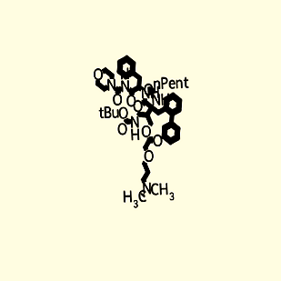 CCCCCC(=O)NC(Cc1ccccc1-c1ccccc1)(C(=O)NC(Cc1ccccc1)C(=O)NC(=O)N1CCOCC1)C(CNC(=O)OC(C)(C)C)COC(=O)COCCCN(C)C